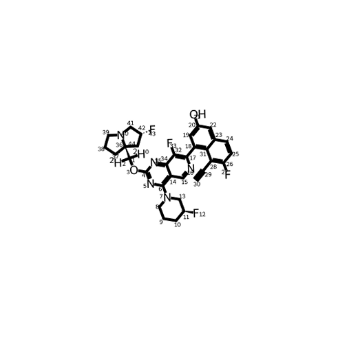 [2H]C([2H])(Oc1nc(N2CCC[C@H](F)C2)c2cnc(-c3cc(O)cc4ccc(F)c(C#C)c34)c(F)c2n1)[C@@]12CCCN1C[C@H](F)C2